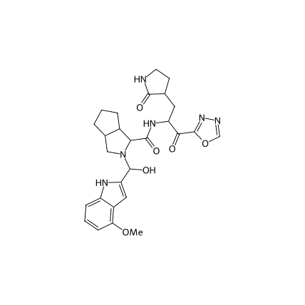 COc1cccc2[nH]c(C(O)N3CC4CCCC4C3C(=O)NC(CC3CCNC3=O)C(=O)c3nnco3)cc12